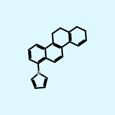 C1=CC2=C(CC1)CCc1c2ccc2c(-n3cccc3)cccc12